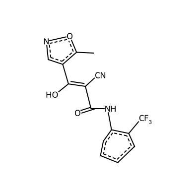 Cc1oncc1/C(O)=C(\C#N)C(=O)Nc1ccccc1C(F)(F)F